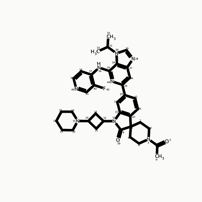 CC(=O)N1CCC2(CC1)C(=O)N(C1CC(N3CCCCC3)C1)c1cc(-c3cc4ncn(C(C)C)c4c(Nc4ccncc4F)n3)ccc12